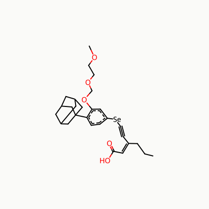 CCCC(C#C[Se]c1ccc(C23CC4CC(CC(C4)C2)C3)c(OCOCCOC)c1)=CC(=O)O